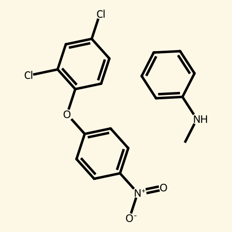 CNc1ccccc1.O=[N+]([O-])c1ccc(Oc2ccc(Cl)cc2Cl)cc1